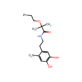 CC(C)CCOC(C)(C)C(=O)NCCc1cc(O)c(O)cc1[N+](=O)[O-]